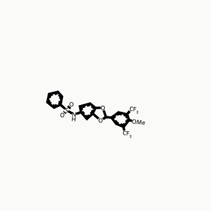 COc1c(C(F)(F)F)cc(C2Oc3ccc(NS(=O)(=O)c4ccccc4)cc3O2)cc1C(F)(F)F